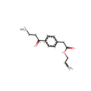 C=CCOC(=O)Cc1ccc(C(=O)CCC(=O)O)cc1